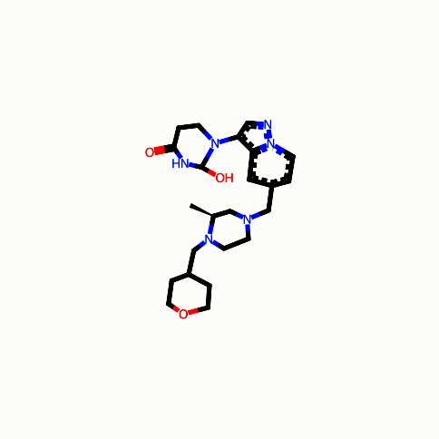 C[C@H]1CN(Cc2ccn3ncc(N4CCC(=O)NC4O)c3c2)CCN1CC1CCOCC1